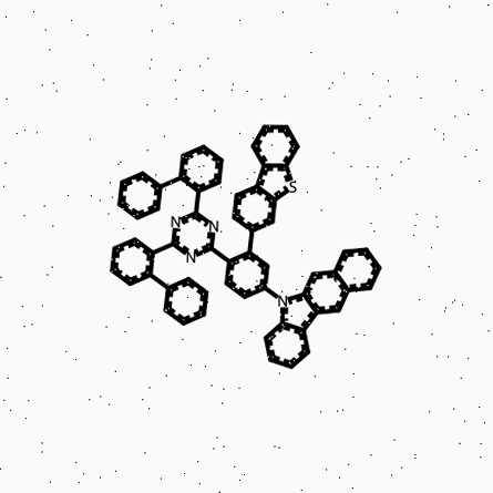 c1ccc(-c2ccccc2-c2nc(-c3ccccc3-c3ccccc3)nc(-c3ccc(-n4c5ccccc5c5cc6ccccc6cc54)cc3-c3ccc4c(c3)sc3ccccc34)n2)cc1